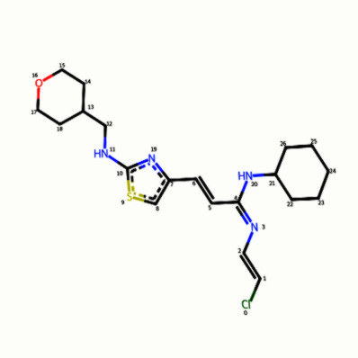 Cl/C=C/N=C(\C=C\c1csc(NCC2CCOCC2)n1)NC1CCCCC1